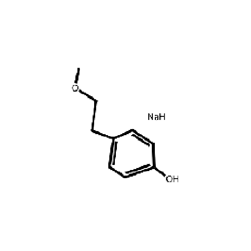 COCCc1ccc(O)cc1.[NaH]